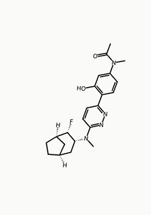 CC(=O)N(C)c1ccc(-c2ccc(N(C)[C@@H]3C[C@H]4CC[C@H](C4)[C@@H]3F)nn2)c(O)c1